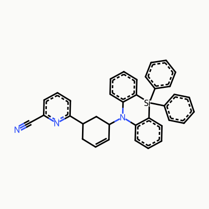 N#Cc1cccc(C2CC=CC(N3c4ccccc4[Si](c4ccccc4)(c4ccccc4)c4ccccc43)C2)n1